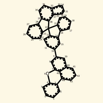 c1ccc2c(c1)Oc1cc(-c3ccc4c(c3)-c3ccccc3C43c4ccccc4-c4ccc5ccccc5c43)cc3cccc-2c13